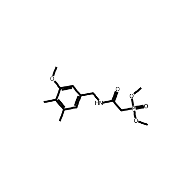 COc1cc(CNC(=O)CP(=O)(OC)OC)cc(C)c1C